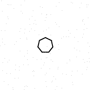 [CH]1CC[CH]CCC1